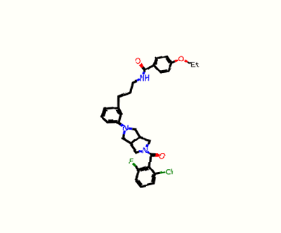 CCOc1ccc(C(=O)NCCCc2cccc(N3CC4CN(C(=O)c5c(F)cccc5Cl)CC4C3)c2)cc1